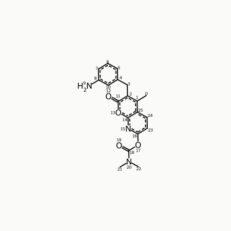 Cc1c(Cc2cccc(N)c2)c(=O)oc2nc(OC(=O)N(C)C)ccc12